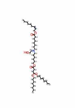 CCCCCC/C=C\COC(=O)CCCCCCCN(CCO)CCCCCCOC(=O)CCC(OCCCCCCCC)OCCCCCCCC